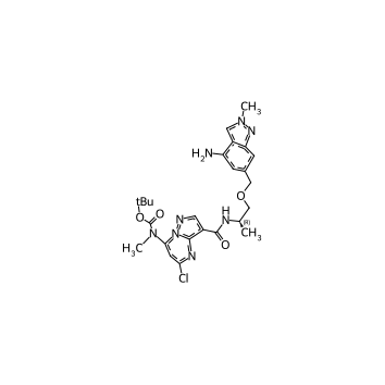 C[C@H](COCc1cc(N)c2cn(C)nc2c1)NC(=O)c1cnn2c(N(C)C(=O)OC(C)(C)C)cc(Cl)nc12